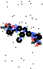 COC(=O)N[C@H](C(=O)N1C(c2nc3cc([C@H]4CCC(c5ccc6c(c5)NC([C@@H]5C[C@@H]7CCC[C@@H]7N5C(=O)[C@@H](NC(=O)OC)C(C)C)N6)N4c4cc(F)c(N5CCCCC5)c(F)c4)ccc3[nH]2)C[C@@H]2CCC[C@@H]21)C(C)C